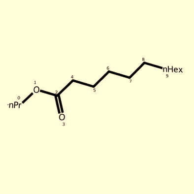 CC[CH]OC(=O)CCCCCCCCCCC